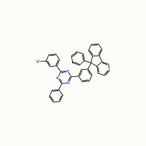 N#Cc1cccc(-c2nc(-c3ccccc3)nc(-c3cccc(C4(c5ccccc5)c5ccccc5-c5ccccc54)c3)n2)c1